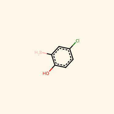 Bc1cc(Cl)ccc1O